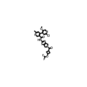 COc1cnc(Cl)cc1-c1cc(C)ncc1C(=O)Nc1nc2c(s1)CN(C(=O)C1CC(OC(F)F)C1)C2